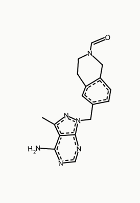 Cc1nn(Cc2ccc3c(c2)CCN(C=O)C3)c2ncnc(N)c12